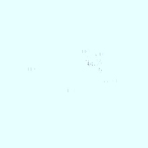 CCCCCCCCCCCCCCCCCCN(C(=O)CCCCCCCCCCC)[C@@H]1O[C@H](CO)[C@@H](O)[C@H](O)[C@H]1NC(=O)CNC(=O)CCCC(=O)O